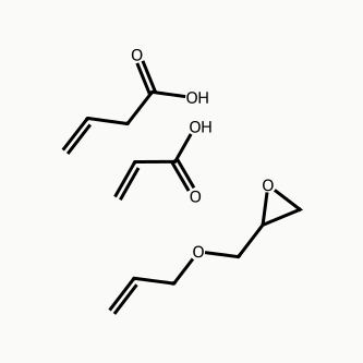 C=CC(=O)O.C=CCC(=O)O.C=CCOCC1CO1